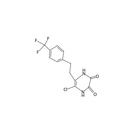 O=c1[nH]c(Cl)c(CCc2ccc(C(F)(F)F)cc2)[nH]c1=O